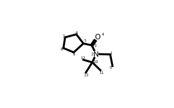 CCN(C(=O)C1CCCC1)C(C)(C)C